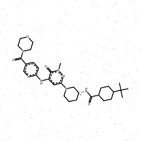 Cn1nc(N2CCC[C@@H](NC(=O)C3CCC(C(C)(C)C)CC3)C2)cc(Nc2ccc(C(=O)N3CCOCC3)cn2)c1=O